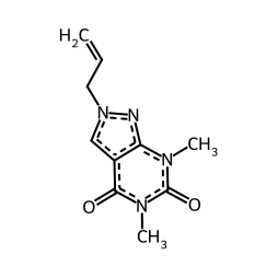 C=CCn1cc2c(=O)n(C)c(=O)n(C)c2n1